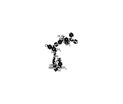 C/C=S(\NC(=O)c1ccc(N2CCN(CC3=C(c4ccc(Cl)cc4)CCC(C)(CNCCNCCCCCC(=O)N[C@H](C(=O)N4CCC[C@H]4C(=O)N[C@@H](C)c4ccc(-c5scnc5C)cc4)C(C)(C)C)C3)CC2)cc1)c1ccc(N[C@H](CCN2CCOCC2)CSc2ccccc2)c(S(=O)(=O)C(F)(F)F)c1